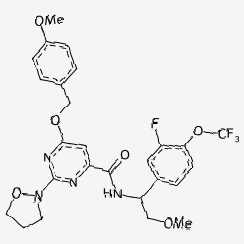 COCC(NC(=O)c1cc(OCc2ccc(OC)cc2)nc(N2CCCO2)n1)c1ccc(OC(F)(F)F)c(F)c1